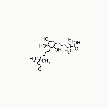 CC(C)(CCCCc1c(O)c(O)cc(CCCCC(C)(C)C(=O)O)c1O)OC=O